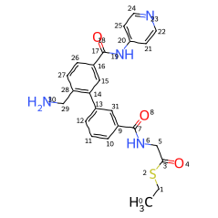 CCSC(=O)CNC(=O)c1cccc(-c2cc(C(=O)Nc3ccncc3)ccc2CN)c1